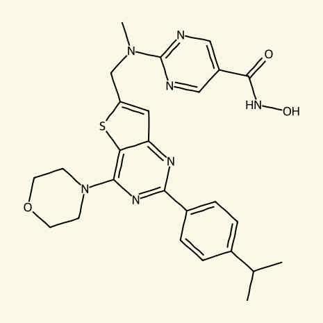 CC(C)c1ccc(-c2nc(N3CCOCC3)c3sc(CN(C)c4ncc(C(=O)NO)cn4)cc3n2)cc1